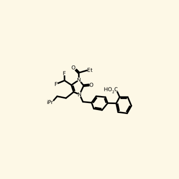 CCC(=O)n1c(C(F)F)c(CCC(C)C)n(Cc2ccc(-c3ccccc3C(=O)O)cc2)c1=O